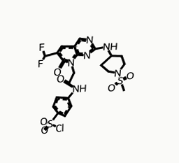 CS(=O)(=O)N1CCC(Nc2ncc3cc(C(F)F)c(=O)n(CC(=O)Nc4ccc(S(=O)(=O)Cl)cc4)c3n2)CC1